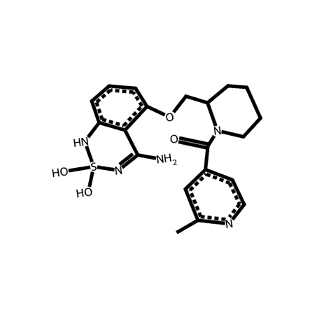 Cc1cc(C(=O)N2CCCCC2COc2cccc3c2C(N)=NS(O)(O)N3)ccn1